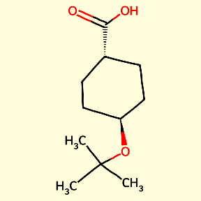 CC(C)(C)O[C@H]1CC[C@H](C(=O)O)CC1